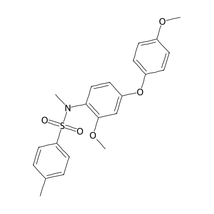 COc1ccc(Oc2ccc(N(C)S(=O)(=O)c3ccc(C)cc3)c(OC)c2)cc1